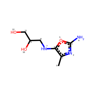 Cc1nc(N)oc1NCC(O)CO